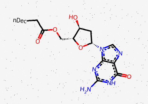 CCCCCCCCCCCC(=O)OC[C@H]1O[C@@H](n2cnc3c(=O)[nH]c(N)nc32)C[C@@H]1O